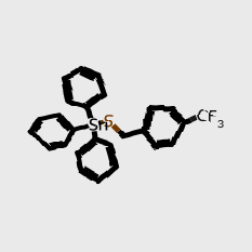 FC(F)(F)c1ccc(C[S][Sn]([c]2ccccc2)([c]2ccccc2)[c]2ccccc2)cc1